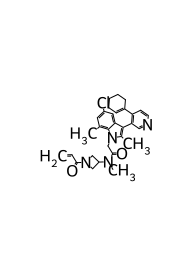 C=CC(=O)N1CC(N(C)C(=O)Cn2c(C)c(-c3cnccc3C3=CCCCC3)c3cc(Cl)cc(C)c32)C1